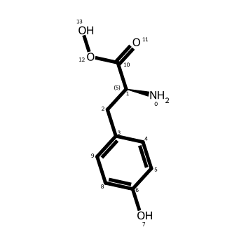 N[C@@H](Cc1ccc(O)cc1)C(=O)OO